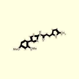 COc1ccc(-c2cnc(NC(=O)CCC3CC=C(C)O3)nc2)c(OC)c1